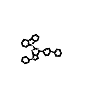 c1ccc(-c2ccc(-c3nc(-n4c5ccccc5c5ccccc54)nc4c3ccn4-c3ccccc3)cc2)cc1